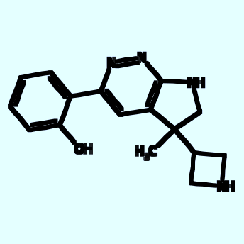 CC1(C2CNC2)CNc2nnc(-c3ccccc3O)cc21